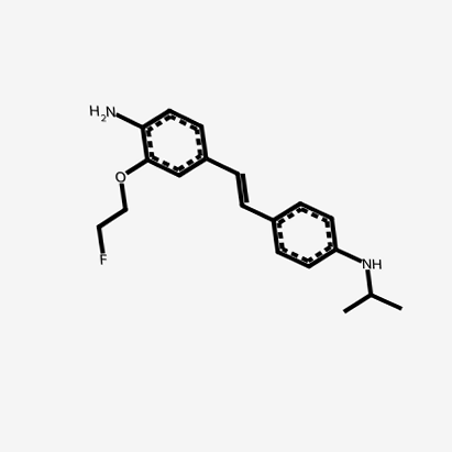 CC(C)Nc1ccc(/C=C/c2ccc(N)c(OCCF)c2)cc1